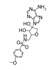 COc1ccc(S(=O)(=O)NCC2OCC(O)(n3cnc4c(N)ncnc43)C2O)cc1